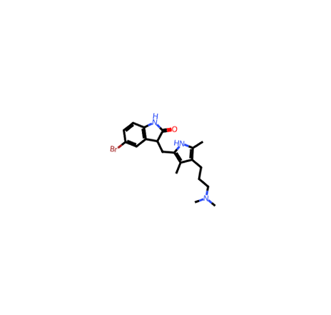 Cc1[nH]c(CC2C(=O)Nc3ccc(Br)cc32)c(C)c1CCCN(C)C